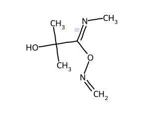 C=NO/C(=N\C)C(C)(C)O